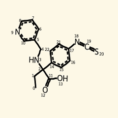 CCC(NCc1cccnc1)(C(=O)O)c1ccc(N=C=S)cc1